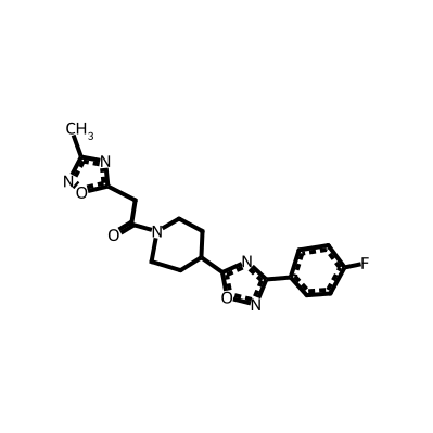 Cc1noc(CC(=O)N2CCC(c3nc(-c4ccc(F)cc4)no3)CC2)n1